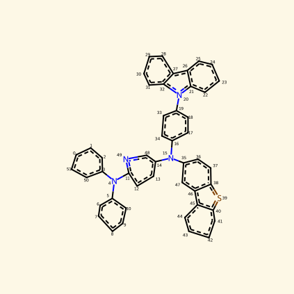 c1ccc(N(c2ccccc2)c2ccc(N(c3ccc(-n4c5ccccc5c5ccccc54)cc3)c3ccc4sc5ccccc5c4c3)cn2)cc1